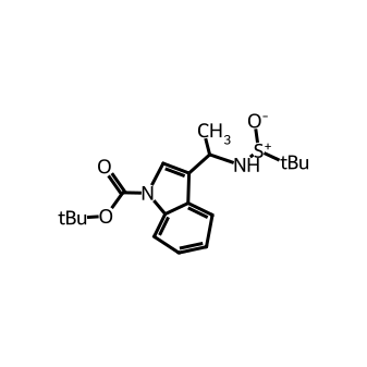 CC(N[S+]([O-])C(C)(C)C)c1cn(C(=O)OC(C)(C)C)c2ccccc12